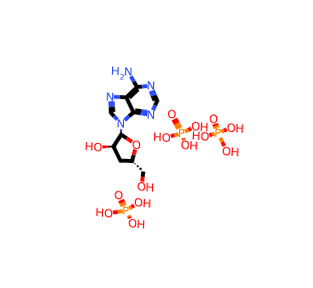 Nc1ncnc2c1ncn2[C@@H]1O[C@H](CO)C[C@H]1O.O=P(O)(O)O.O=P(O)(O)O.O=P(O)(O)O